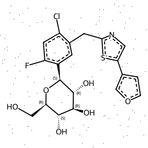 OC[C@H]1O[C@@H](c2cc(Cc3ncc(-c4ccoc4)s3)c(Cl)cc2F)[C@H](O)[C@@H](O)[C@@H]1O